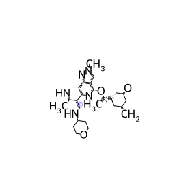 C=C1CC(=O)C[C@@H]([C@@H](C)Oc2nc(/C(=C/NC3CCOCC3)C(C)=N)cc3nn(C)cc23)C1